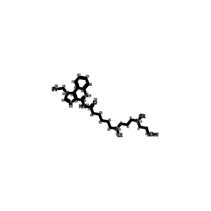 CCCCCCCCCCCCN(CC)CCCN(CC)CCCCCC(=O)Nc1nc2ccccc2c2c1ncn2CC(C)C